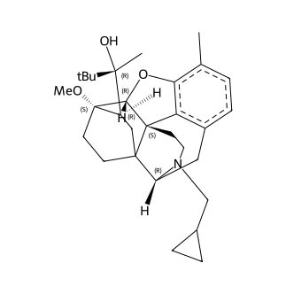 CO[C@@]12CCC3(C[C@@H]1[C@@](C)(O)C(C)(C)C)[C@H]1Cc4ccc(C)c5c4[C@@]3(CCN1CC1CC1)[C@H]2O5